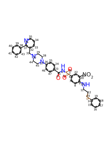 O=C(NS(=O)(=O)c1ccc(NCCSc2ccccc2)c([N+](=O)[O-])c1)c1ccc(N2CCN(Cc3cccnc3-c3ccccc3)CC2)cc1